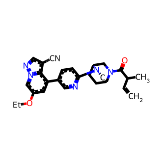 C=CC(C)C(=O)N1CC2CCC1CN2c1ccc(-c2cc(OCC)cn3ncc(C#N)c23)cn1